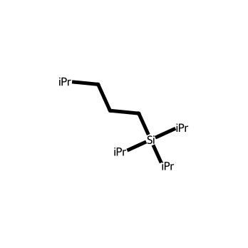 CC(C)CCC[Si](C(C)C)(C(C)C)C(C)C